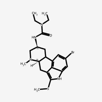 CCN(CC)C(=O)N[C@H]1CC2c3cc(Br)cc4[nH]c(SC)c(c34)C[C@H]2N(C)C1